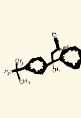 CC(C)(C)c1ccc([C@@](C)(CC(N)=O)c2ccccc2)cc1